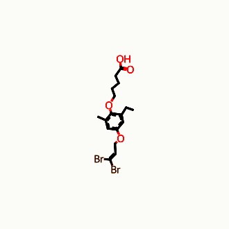 CCc1cc(OCC=C(Br)Br)cc(C)c1OCCCCC(=O)O